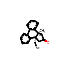 CC(=O)C[C@@]12CC(=O)C[C@]1(C)c1ccccc1-c1ccccc12